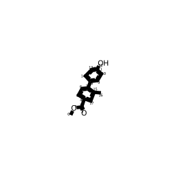 COC(=O)c1ccc(-c2ccc(O)cc2)c(C)c1